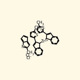 CC1=NC2=CC=CC2=C1.Cc1ccc(C2=Cc3ccccc3[CH]2[Zr+2][CH]2C(c3ccc(C)s3)=Cc3ccccc32)s1.[Cl-].[Cl-]